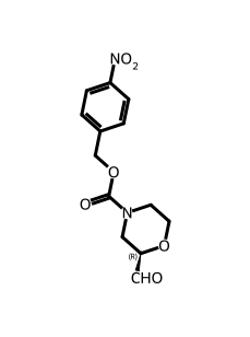 O=C[C@H]1CN(C(=O)OCc2ccc([N+](=O)[O-])cc2)CCO1